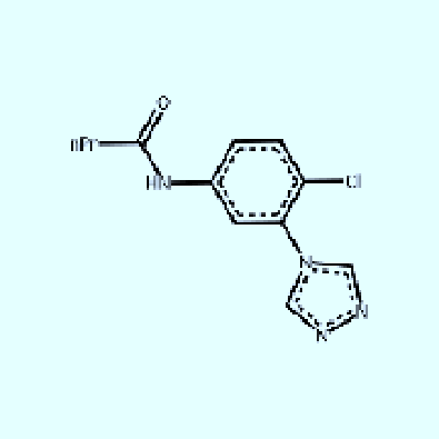 CCCC(=O)Nc1ccc(Cl)c(-n2cnnc2)c1